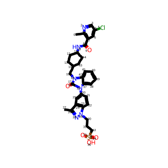 Cc1ncc(Cl)cc1C(=O)NC1CCC(Cn2c(=O)n(-c3ccc4c(c3)c(C)nn4CCCS(=O)(=O)O)c3ccccc32)CC1